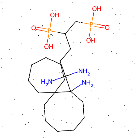 NC(N)(CCC(CP(=O)(O)O)P(=O)(O)O)C1(N)CCCCCCC12CCCCCC2